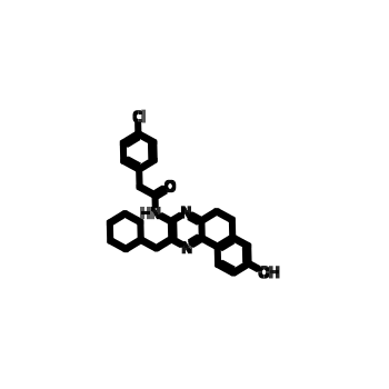 O=C(Cc1ccc(Cl)cc1)Nc1nc2c(nc1CC1CCCCC1)-c1ccc(O)cc1CC2